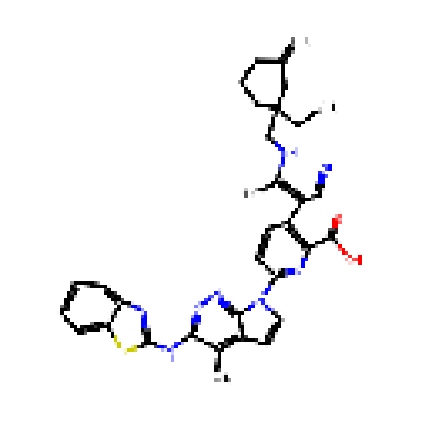 C=C1CCCC(CC)(CN/C(C)=C(\C=N)c2ccc(-n3ccc4c(C)c(Nc5nc6ccccc6s5)nnc43)nc2C(=O)O)C1